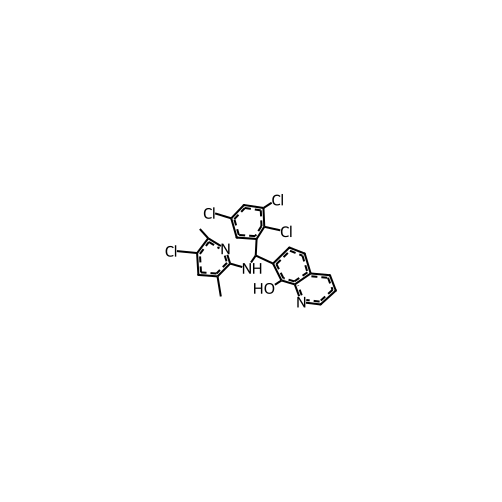 Cc1cc(Cl)c(C)nc1NC(c1cc(Cl)cc(Cl)c1Cl)c1ccc2cccnc2c1O